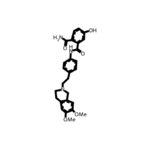 COc1cc2c(cc1OC)CN(CCc1ccc(NC(=O)c3cc(O)ccc3C(N)=O)cc1)CC2